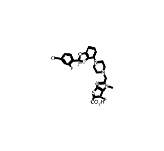 Cn1c(CN2CCN(c3cccc4c3O[C@@](C)(c3ccc(Cl)cc3F)O4)CC2)nc2sc(C(=O)O)c(F)c21